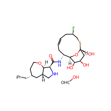 CC(C)C[C@@H]1CCO[C@@H]2[C@H](CN[C@@H]2C(=O)N[C@@H]2C/C=C\C[C@@H](F)CS[C@H]3O[C@H]2[C@H](O)[C@H](O)[C@H]3O)C1.O=CO